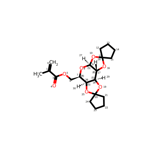 C=C(C)C(=O)OC[C@H]1O[C@H]2OC3(CCCC3)O[C@@H]2[C@H]2OC3(CCCC3)O[C@H]21